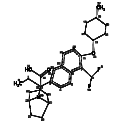 CCC(c1ccc2c(C(F)F)c(O[C@H]3CC[C@@H](C)CC3)ccc2c1)N1C2CCC1CC(C(=O)O)C2